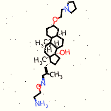 CC(/C=N/OCCN)=C\[C@H]1CC[C@]2(O)[C@@H]3CC[C@@H]4C[C@H](OCCN5CCCC5)CC[C@]4(C)[C@H]3CC[C@]12C